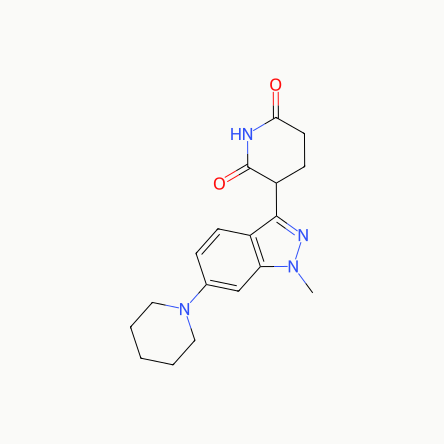 Cn1nc(C2CCC(=O)NC2=O)c2ccc(N3CCCCC3)cc21